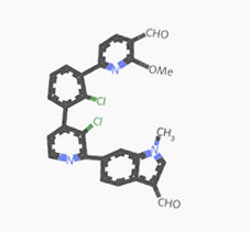 COc1nc(-c2cccc(-c3ccnc(-c4ccc5c(C=O)cn(C)c5c4)c3Cl)c2Cl)ccc1C=O